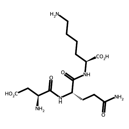 NCCCC[C@H](NC(=O)[C@H](CCC(N)=O)NC(=O)[C@@H](N)CC(=O)O)C(=O)O